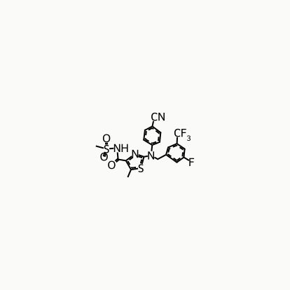 Cc1sc(N(Cc2cc(F)cc(C(F)(F)F)c2)c2ccc(C#N)cc2)nc1C(=O)NS(C)(=O)=O